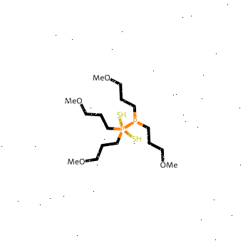 COCCCP(CCCOC)P(S)(S)(CCCOC)CCCOC